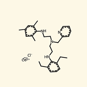 CCc1cccc(CC)c1NCCN(CCNc1c(C)cc(C)cc1C)Cc1ccccn1.[Cl-].[Cl-].[Co+2]